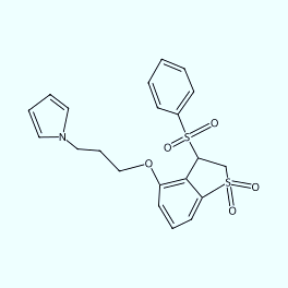 O=S1(=O)CC(S(=O)(=O)c2ccccc2)c2c(OCCCn3cccc3)cccc21